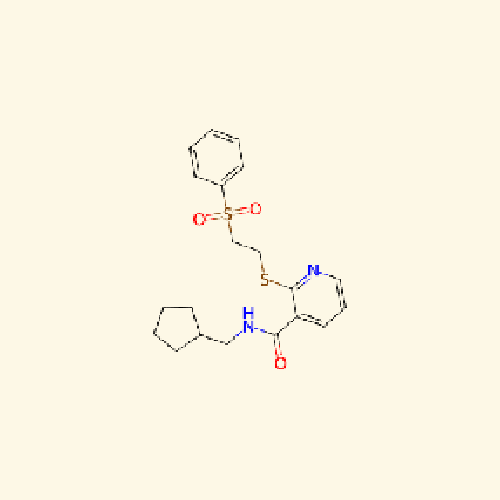 O=C(NCC1CCCC1)c1cccnc1SCCS(=O)(=O)c1ccccc1